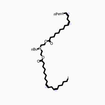 CCCCC/C=C\C/C=C\CCCCCCCC(=O)OCCN(CCCC)CCOC(=O)CCCCCCC/C=C\C/C=C\CCCCI